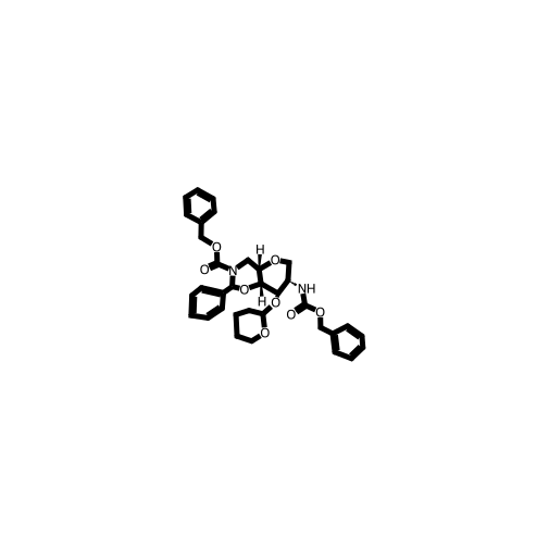 O=C(N[C@H]1CO[C@H]2CN(C(=O)OCc3ccccc3)C(c3ccccc3)O[C@H]2[C@@H]1OC1CCCCO1)OCc1ccccc1